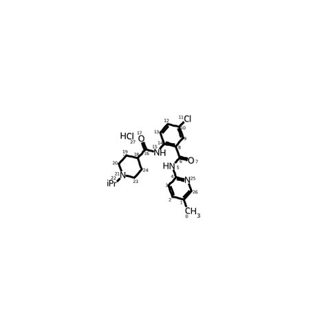 Cc1ccc(NC(=O)c2cc(Cl)ccc2NC(=O)[C]2[CH]CN(C(C)C)CC2)nc1.Cl